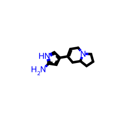 Nc1cc(C2=CCN3CCCC3C2)c[nH]1